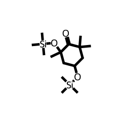 CC1(C)CC(O[Si](C)(C)C)CC(C)(O[Si](C)(C)C)C1=O